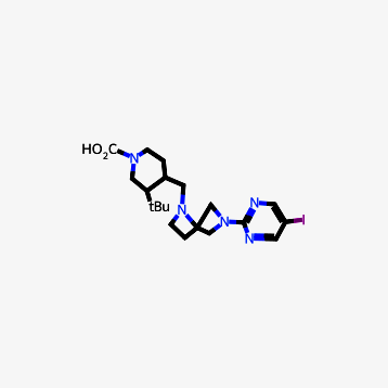 CC(C)(C)C1CN(C(=O)O)CCC1CN1CCC12CN(c1ncc(I)cn1)C2